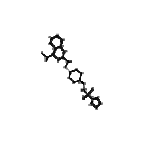 CN(C)c1nc(NC[C@H]2CC[C@H](CNS(=O)(=O)c3cccs3)CC2)nc2ccccc12